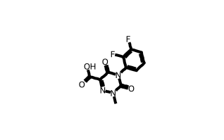 Cn1nc(C(=O)O)c(=O)n(-c2cccc(F)c2F)c1=O